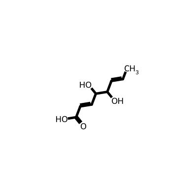 C/C=C/C(O)C(O)/C=C/C(=O)O